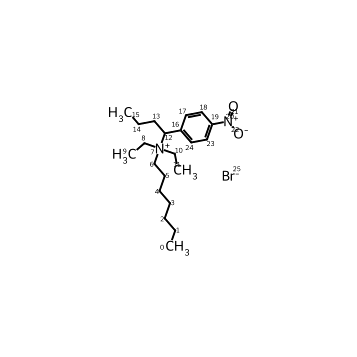 CCCCCCC[N+](CC)(CC)C(CCC)c1ccc([N+](=O)[O-])cc1.[Br-]